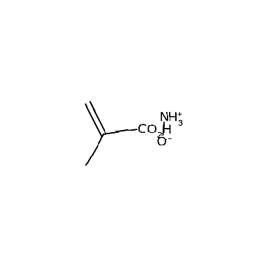 C=C(C)C(=O)O.[NH3+][O-]